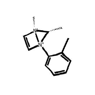 Cc1ccccc1[N+]12C=C[N@@+]1(C)[C@@H]2C